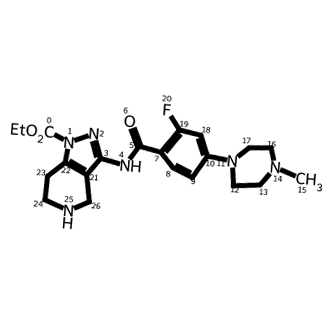 CCOC(=O)n1nc(NC(=O)c2ccc(N3CCN(C)CC3)cc2F)c2c1CCNC2